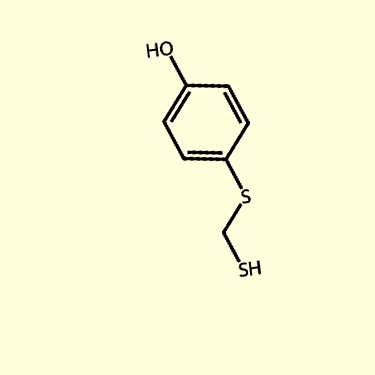 Oc1ccc(SCS)cc1